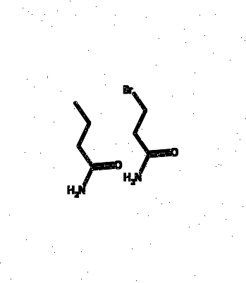 CCCC(N)=O.NC(=O)CCBr